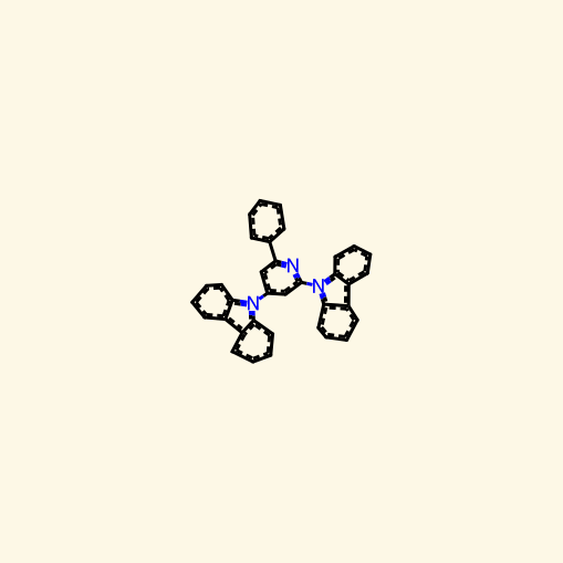 c1ccc(-c2cc(-n3c4ccccc4c4ccccc43)cc(-n3c4ccccc4c4ccccc43)n2)cc1